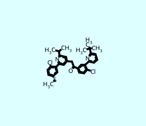 CSc1ccc(Cl)c(-c2cc(CC(=O)c3ccc(Cl)c(-c4cccc(C(C)(C)C)n4)c3)cc(C(C)C)n2)c1